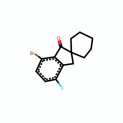 O=C1c2c(Br)ccc(F)c2CC12CCCCC2